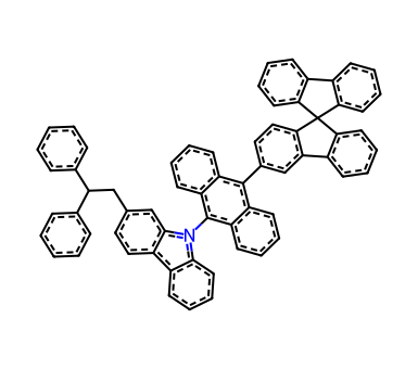 c1ccc(C(Cc2ccc3c4ccccc4n(-c4c5ccccc5c(-c5ccc6c(c5)-c5ccccc5C65c6ccccc6-c6ccccc65)c5ccccc45)c3c2)c2ccccc2)cc1